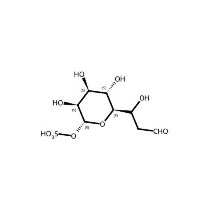 O=[C]CC(O)[C@H]1O[C@H](OS(=O)(=O)O)[C@@H](O)[C@@H](O)[C@@H]1O